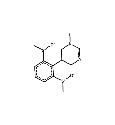 CN1C=NCC(c2c([S+](C)[O-])cccc2[S+](C)[O-])C1